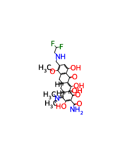 COc1c(CNCC(F)F)cc(O)c2c1C[C@H]1C[C@H]3[C@H](N(C)C)C(O)=C(C(N)=O)C(=O)[C@@]3(O)C(O)=C1C2=O